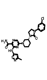 Cc1cc(Nc2nc(N3CCC[C@@H](N4CCN(c5cccc(Cl)c5)C4=O)C3)cnc2C(N)=O)sn1